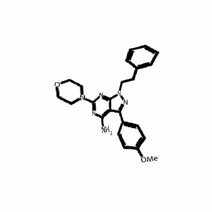 COc1ccc(-c2nn(CCc3ccccc3)c3nc(N4CCOCC4)nc(N)c23)cc1